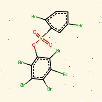 O=S(=O)(Oc1c(Br)c(Br)c(Br)c(Br)c1Br)c1cc(Br)ccc1Br